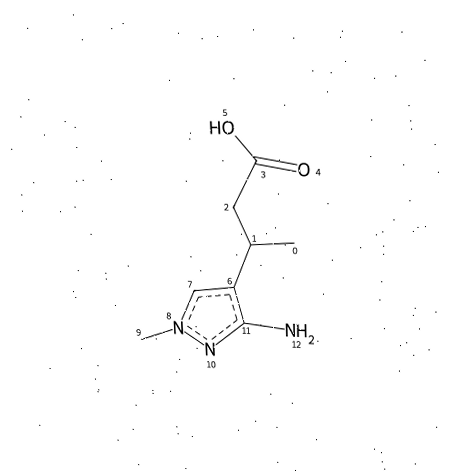 CC(CC(=O)O)c1cn(C)nc1N